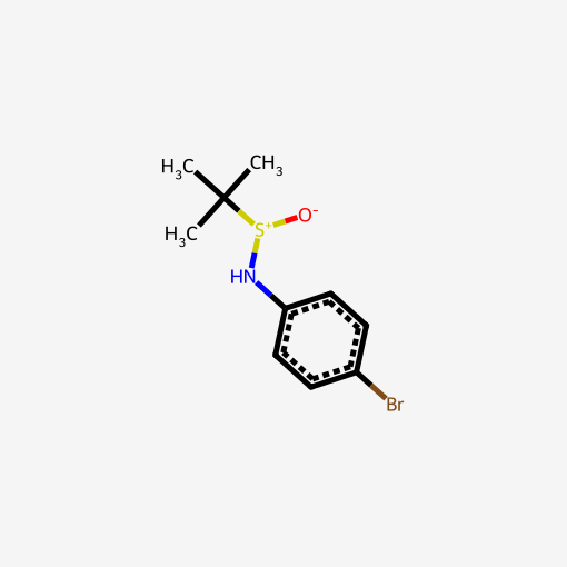 CC(C)(C)[S+]([O-])Nc1ccc(Br)cc1